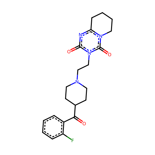 O=C(c1ccccc1F)C1CCN(CCn2c(=O)nc3n(c2=O)CCCC3)CC1